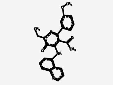 CCn1nc(-c2cccc(OC)c2)c(C(C)=O)c(Nc2cccc3ncccc23)c1=O